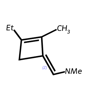 CCC1=C(C)/C(=C\NC)C1